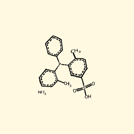 Cc1ccccc1P(c1ccccc1)c1cc(S(=O)(=O)O)ccc1C.N